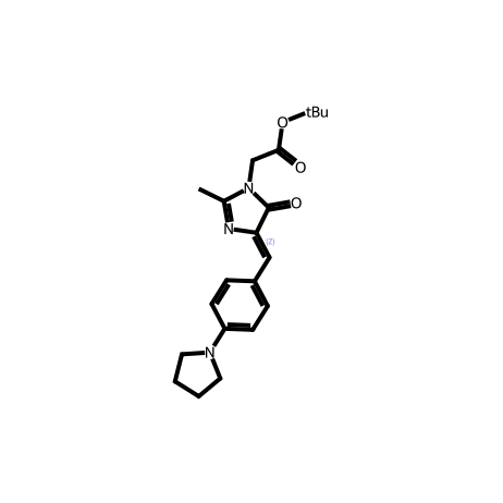 CC1=N/C(=C\c2ccc(N3CCCC3)cc2)C(=O)N1CC(=O)OC(C)(C)C